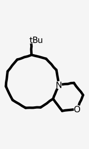 CC(C)(C)C1CCCCCCC2COCCN2CC1